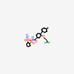 Cc1ccc(-c2ccc(C(=O)NS(=O)(=O)c3ccccc3S(N)(=O)=O)cc2OCCC(F)F)cc1